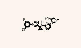 CC(C)[C@H]1CN(C)CN1c1ccnc(NC2(c3cn(-c4cc(F)cc(Cl)c4)cn3)CC2)n1